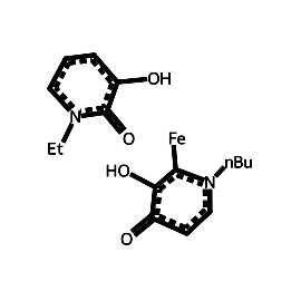 CCCCn1ccc(=O)c(O)[c]1[Fe].CCn1cccc(O)c1=O